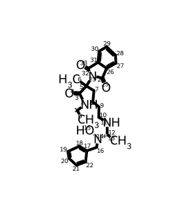 CCNC(=O)C(C)(CCCCNC(C)=[N+](O)Cc1ccccc1)N1C(=O)c2ccccc2C1=O